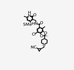 CSc1cc(C)[nH]c(=O)c1CNC(=O)c1cc(Cl)c2c(c1C)O[C@@](C)(C1CCN(CC3CC3C#N)CC1)O2